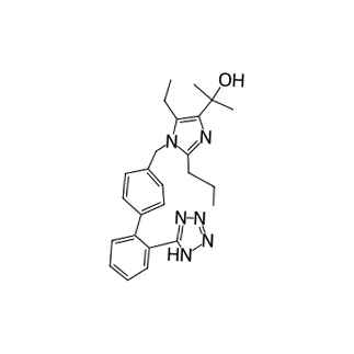 CCCc1nc(C(C)(C)O)c(CC)n1Cc1ccc(-c2ccccc2-c2nnn[nH]2)cc1